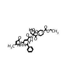 CCOC(=O)N1CCN(C(=O)C(CC)(NC(=O)c2cc(-n3[nH]c(C)cc3=O)nc(-c3ccccc3)n2)C(=O)O)CC1